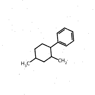 [CH2]C1CC(C)CCC1c1ccccc1